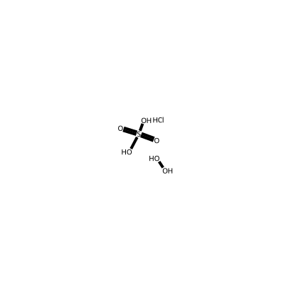 Cl.O=S(=O)(O)O.OO